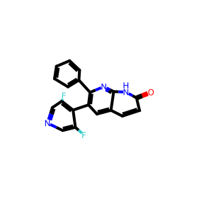 O=c1ccc2cc(-c3c(F)cncc3F)c(-c3ccccc3)nc2[nH]1